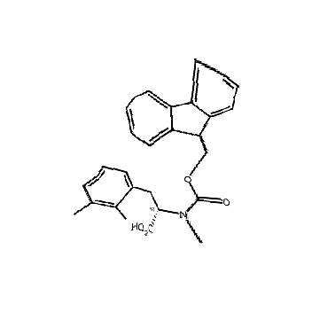 Cc1cccc(C[C@@H](C(=O)O)N(C)C(=O)OCC2c3ccccc3-c3ccccc32)c1C